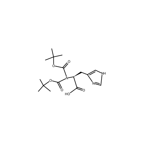 CC(C)(C)OC(=O)N(C(=O)OC(C)(C)C)[C@@H](Cc1c[nH]cn1)C(=O)O